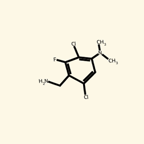 CN(C)c1cc(Cl)c(CN)c(F)c1Cl